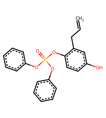 C=CCc1cc(O)ccc1OP(=O)(Oc1ccccc1)Oc1ccccc1